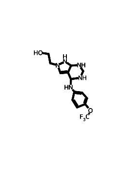 OCCN1C=C2C(Nc3ccc(OC(F)(F)F)cc3)NCNC2N1